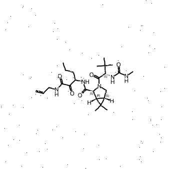 C=CCNC(=O)C(=O)C(CCC)NC(=O)[C@@H]1[C@@H]2[C@H](CN1C(=O)[C@@H](NC(=O)NC)C(C)(C)C)C2(C)C